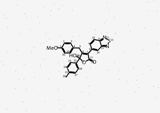 COc1ccc(CC2=C(c3ccc4nsnc4c3)C(=O)OC2(O)c2ccc(C)cc2)cc1